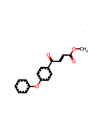 COC(=O)C=CC(=O)c1ccc(Oc2ccccc2)cc1